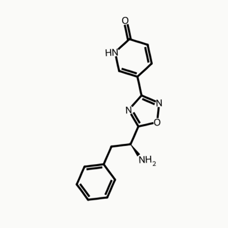 N[C@@H](Cc1ccccc1)c1nc(-c2ccc(=O)[nH]c2)no1